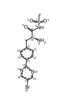 CS(=O)(=O)NC(=O)[C@@H](N)Cc1ccc(-c2ncc(Br)cn2)cc1